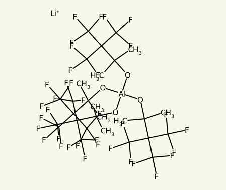 CC(C)([O][Al-]([O]C(C)(C)C(C(F)(F)F)(C(F)(F)F)C(F)(F)F)([O]C(C)(C)C(C(F)(F)F)(C(F)(F)F)C(F)(F)F)[O]C(C)(C)C(C(F)(F)F)(C(F)(F)F)C(F)(F)F)C(C(F)(F)F)(C(F)(F)F)C(F)(F)F.[Li+]